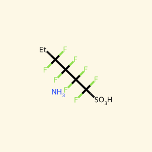 CCC(F)(F)C(F)(F)C(F)(F)C(F)(F)S(=O)(=O)O.N